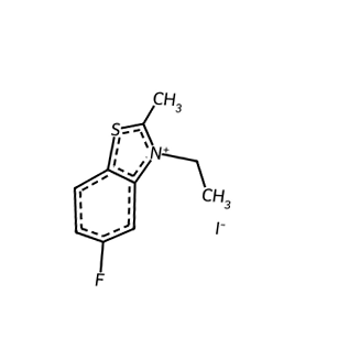 CC[n+]1c(C)sc2ccc(F)cc21.[I-]